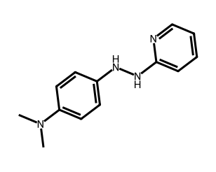 CN(C)c1ccc(NNc2ccccn2)cc1